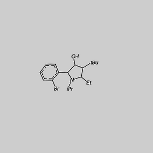 CCC1C(C(C)(C)C)C(O)C(c2ccccc2Br)N1C(C)C